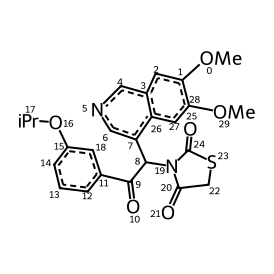 COc1cc2cncc(C(C(=O)c3cccc(OC(C)C)c3)N3C(=O)CSC3=O)c2cc1OC